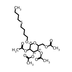 CCCCSCCCCO[C@@H]1OC(COC(C)=O)[C@@H](OC(C)=O)[C@H](OC(C)=O)C1OC(C)=O